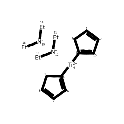 C1=CC[C]([Ti+2][C]2=CC=CC2)=C1.CC[N-]CC.CC[N-]CC